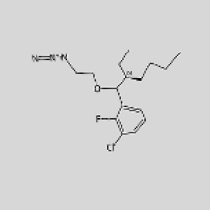 CCCC[C@H](CC)C(OCCN=[N+]=[N-])c1cccc(Cl)c1F